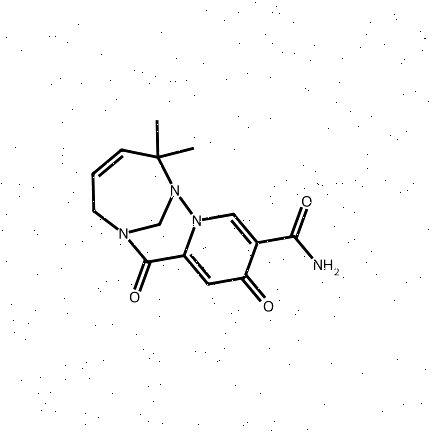 CC1(C)C=CCN2CN1n1cc(C(N)=O)c(=O)cc1C2=O